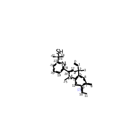 C=CC(C)(C)c1cc(=C)/c(=C\C)cc1N(C)C(=C)c1cccc(C(C)(C)S)n1